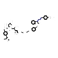 Cc1ncsc1-c1ccc([C@H](C)NC(=O)[C@@H]2C[C@@H](O)CN2C(=O)C(c2cc(OCCOCCOc3ccc(CN4C(=O)/C(=C\C=C\c5ccc([N+](=O)[O-])cc5)c5ccccc54)cc3)no2)C(C)C)cc1